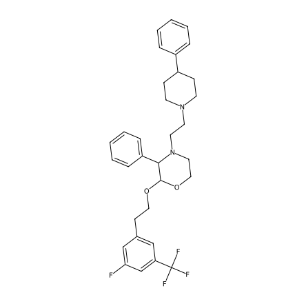 Fc1cc(CCOC2OCCN(CCN3CCC(c4ccccc4)CC3)C2c2ccccc2)cc(C(F)(F)F)c1